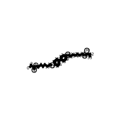 CC(C)C(=O)OCCCCCCOc1ccc(-c2ccc(OCCCCCCOC(=O)C(C)C)cc2)cc1